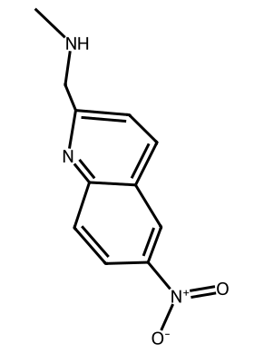 CNCc1ccc2cc([N+](=O)[O-])ccc2n1